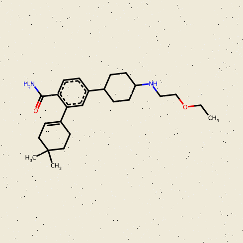 CCOCCNC1CCC(c2ccc(C(N)=O)c(C3=CCC(C)(C)CC3)c2)CC1